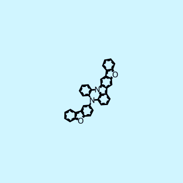 c1ccc2c(c1)N(c1ccc3oc4ccccc4c3c1)c1cccc3c4cc5oc6ccccc6c5cc4n-2c13